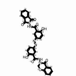 O=C(NN1COc2ccccc2C1=O)c1cc(/N=N/c2ccc(O)c(C(=O)NN3C(=O)c4ccccc4C3=O)c2)ccc1O